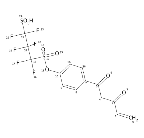 C=CC(=O)CC(=O)c1ccc(OS(=O)(=O)C(F)(F)C(F)(F)C(F)(F)S(=O)(=O)O)cc1